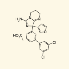 CC(=O)O.NC1=NC(c2ccoc2)(c2cccc(-c3cc(Cl)cc(Cl)c3)c2)C2=NCCCN12